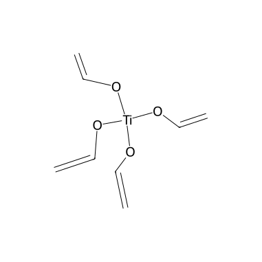 C=C[O][Ti]([O]C=C)([O]C=C)[O]C=C